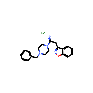 Cl.N=C(Cc1noc2ccccc12)N1CCN(Cc2ccccc2)CC1